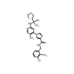 Cc1cnc(N[C@@](C)(S)[C@@H]2CCOC2)nc1-n1cnc(C(=O)NCc2cccc(Cl)c2C)c1